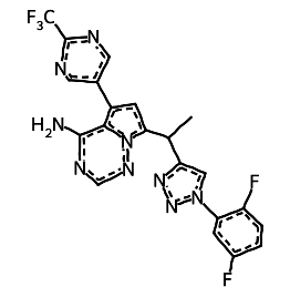 CC(c1cn(-c2cc(F)ccc2F)nn1)c1cc(-c2cnc(C(F)(F)F)nc2)c2c(N)ncnn12